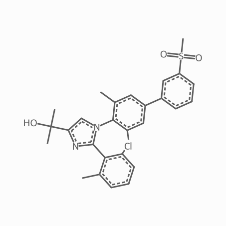 Cc1cccc(Cl)c1-c1nc(C(C)(C)O)cn1-c1c(C)cc(-c2cccc(S(C)(=O)=O)c2)cc1C